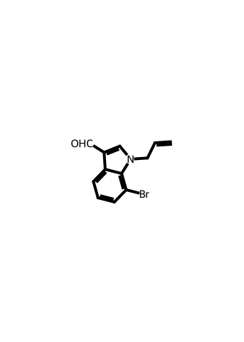 C=CCn1cc(C=O)c2cccc(Br)c21